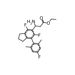 CCOC(=O)CC(N)c1c(F)c2c(c(-c3c(C)cc(F)cc3C)c1F)CCC2